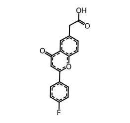 O=C(O)Cc1ccc2oc(-c3ccc(F)cc3)cc(=O)c2c1